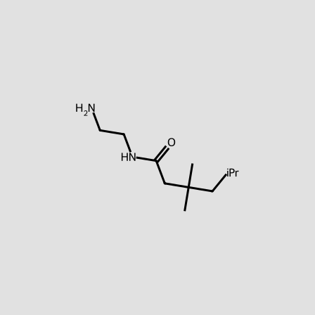 CC(C)CC(C)(C)CC(=O)NCCN